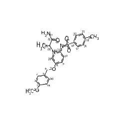 COc1ccc(COc2cc/c(=N\S(=O)(=O)c3ccc(C)cc3)n(C(C)C(N)=O)c2)cc1